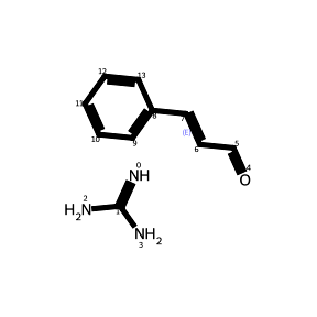 N=C(N)N.O=C/C=C/c1ccccc1